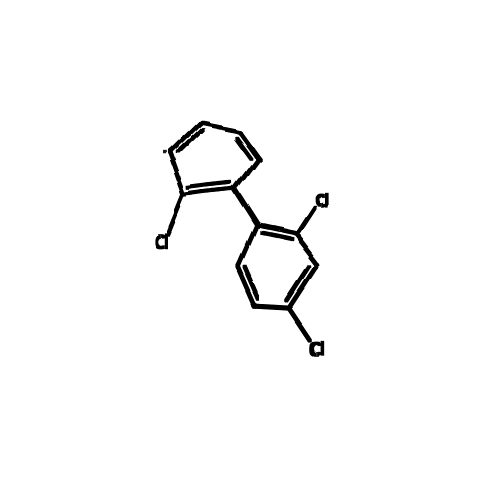 Clc1ccc(-c2ccc[c]c2Cl)c(Cl)c1